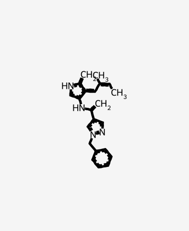 C=C(Nc1c[nH]c(=C)/c1=C\C(C)=C/C)c1cnn(Cc2ccccc2)c1